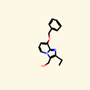 CCc1nc2c(OCc3ccccc3)cccn2c1CO